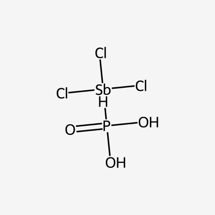 O=[P](O)(O)[SbH]([Cl])([Cl])[Cl]